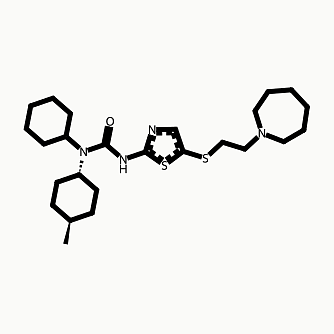 C[C@H]1CC[C@H](N(C(=O)Nc2ncc(SCCN3CCCCCC3)s2)C2CCCCC2)CC1